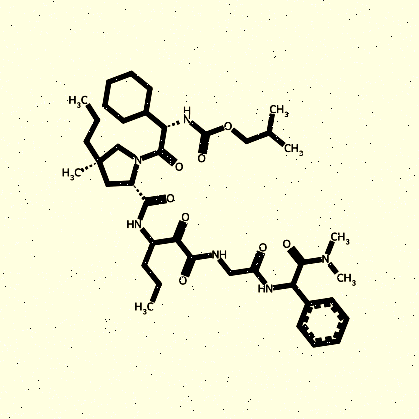 CCCC(NC(=O)[C@@H]1C[C@@](C)(CCC)CN1C(=O)[C@@H](NC(=O)OCC(C)C)C1CCCCC1)C(=O)C(=O)NCC(=O)NC(C(=O)N(C)C)c1ccccc1